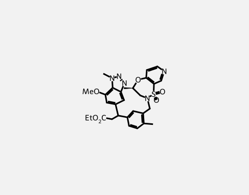 CCOC(=O)CC(c1ccc(C)c(CN2C[C@@H](C)Oc3ccncc3S2(=O)=O)c1)c1cc(OC)c2c(c1)nnn2C